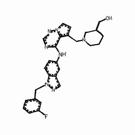 OCC1CCCN(Cc2ccn3ncnc(Nc4ccc5c(cnn5Cc5cccc(F)c5)c4)c23)C1